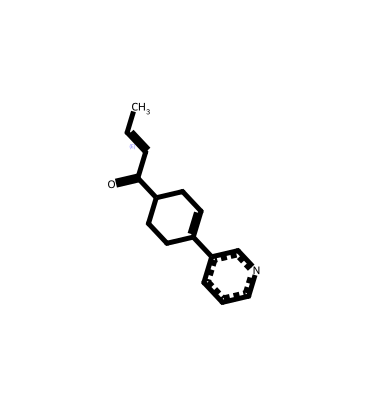 C/C=C/C(=O)C1CC=C(c2cccnc2)CC1